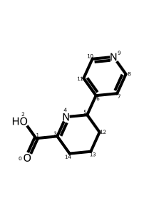 O=C(O)C1=NC(c2ccncc2)CCC1